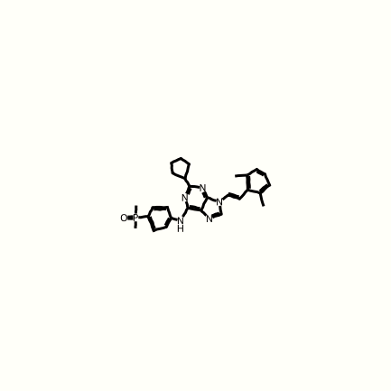 Cc1cccc(C)c1C=Cn1cnc2c(Nc3ccc(P(C)(C)=O)cc3)nc(C3CCCC3)nc21